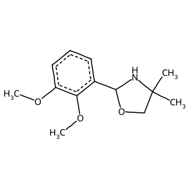 COc1cccc(C2NC(C)(C)CO2)c1OC